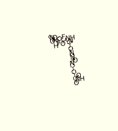 O=C1CCC(c2ccc(C3CCN(CC(=O)N4CCN(c5ccc(-c6cnc7[nH]cc(C(=O)c8c(F)ccc(NS(=O)(=O)N9CCCC9)c8F)c7c6)cc5)CC4)CC3)cc2)C(=O)N1